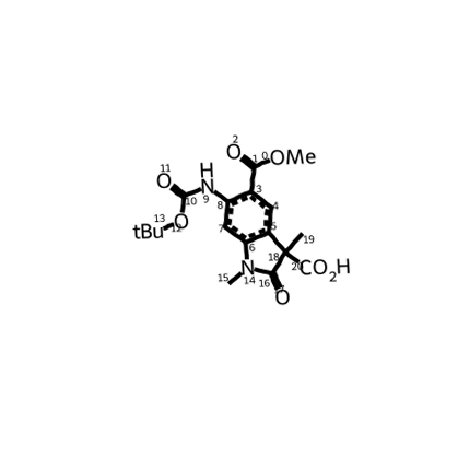 COC(=O)c1cc2c(cc1NC(=O)OC(C)(C)C)N(C)C(=O)C2(C)C(=O)O